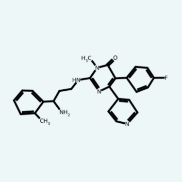 Cc1ccccc1C(N)CCNc1nc(-c2ccncc2)c(-c2ccc(F)cc2)c(=O)n1C